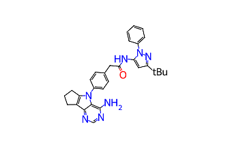 CC(C)(C)c1cc(NC(=O)Cc2ccc(-n3c4c(c5ncnc(N)c53)CCC4)cc2)n(-c2ccccc2)n1